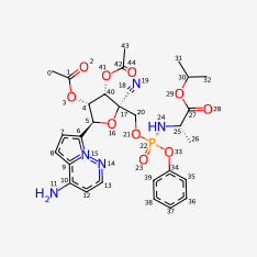 CC(=O)O[C@H]1[C@H](c2ccc3c(N)ccnn23)O[C@](C#N)(CO[P@@](=O)(N[C@@H](C)C(=O)OC(C)C)Oc2ccccc2)[C@H]1OC(C)=O